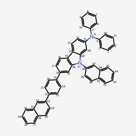 c1ccc(N(c2ccccc2)c2ccc3c4ccc(-c5ccc(-c6ccc7ccccc7c6)cc5)cc4n(-c4ccc5ccccc5c4)c3c2)cc1